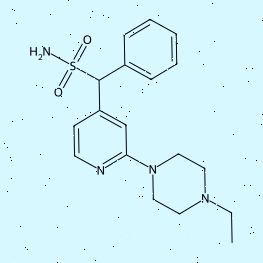 CCN1CCN(c2cc(C(c3ccccc3)S(N)(=O)=O)ccn2)CC1